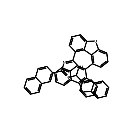 c1ccc(C2N=C(c3ccc4ccccc4c3)N=C(c3cccc4oc5cccc(-c6cc7ccccc7c7oc8ccccc8c67)c5c34)N2)cc1